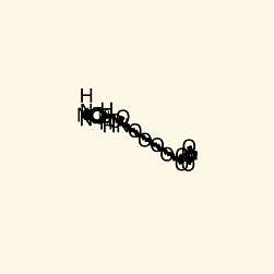 O=C(CCOCCOCCOCCOCCNC(=O)OCC1[C@H]2CCc3nn[nH]c3CC[C@@H]12)ON1C(=O)CCC1=O